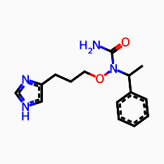 CC(c1ccccc1)N(OCCCc1c[nH]cn1)C(N)=O